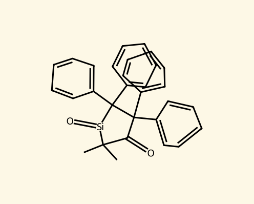 CC1(C)C(=O)C(c2ccccc2)(c2ccccc2)C(c2ccccc2)(c2ccccc2)[Si]1=O